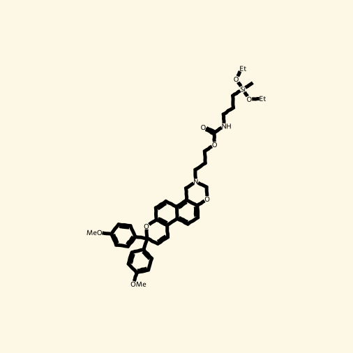 CCO[Si](C)(CCCNC(=O)OCCCN1COc2ccc3c4c(ccc3c2C1)OC(c1ccc(OC)cc1)(c1ccc(OC)cc1)C=C4)OCC